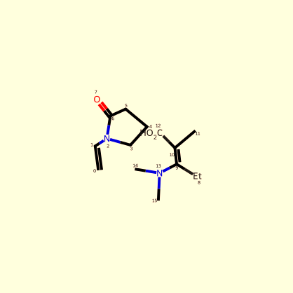 C=CN1CCCC1=O.CCC(=C(C)C(=O)O)N(C)C